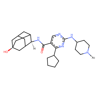 CC(=O)N1CCC(Nc2ncc(C(=O)N[C@H]3C4CC5CC3C[C@@](O)(C5)C4)c(C3CCCC3)n2)CC1